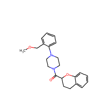 COCc1ccccc1N1CCN(C(=O)C2CCc3ccccc3O2)CC1